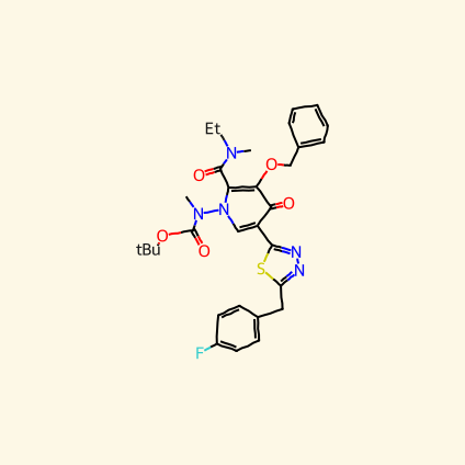 CCN(C)C(=O)c1c(OCc2ccccc2)c(=O)c(-c2nnc(Cc3ccc(F)cc3)s2)cn1N(C)C(=O)OC(C)(C)C